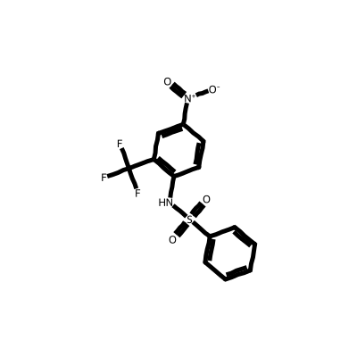 O=[N+]([O-])c1ccc(NS(=O)(=O)c2ccccc2)c(C(F)(F)F)c1